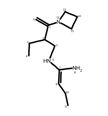 C=C(C(CC)CN/C(N)=C/CC)N1CCC1